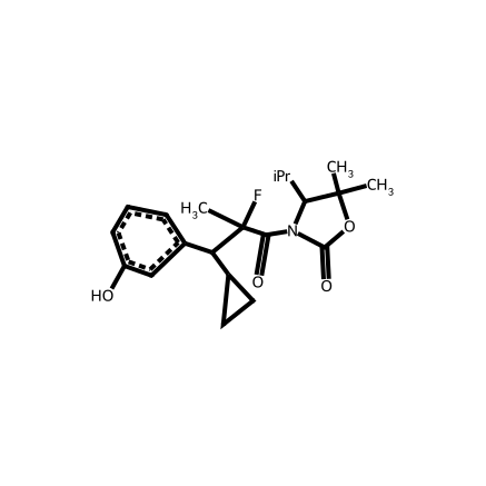 CC(C)C1N(C(=O)C(C)(F)C(c2cccc(O)c2)C2CC2)C(=O)OC1(C)C